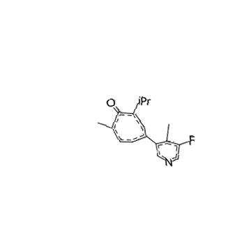 Cc1c(F)cncc1-c1ccc(C)c(=O)c(C(C)C)c1